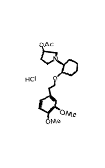 COc1ccc(CCOC2CCCCC2N2CCC(OC(C)=O)C2)cc1OC.Cl